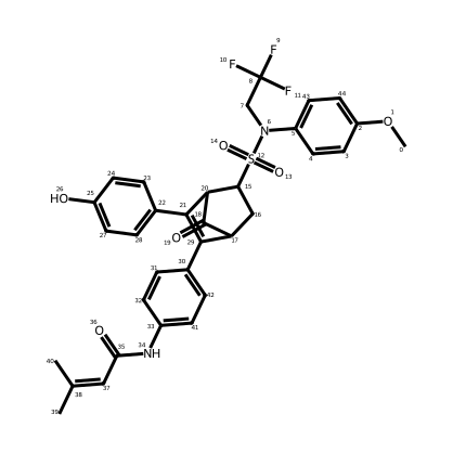 COc1ccc(N(CC(F)(F)F)S(=O)(=O)C2CC3C(=O)C2C(c2ccc(O)cc2)=C3c2ccc(NC(=O)C=C(C)C)cc2)cc1